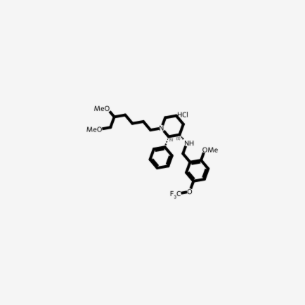 COCC(CCCCN1CCC[C@H](NCc2cc(OC(F)(F)F)ccc2OC)[C@@H]1c1ccccc1)OC.Cl